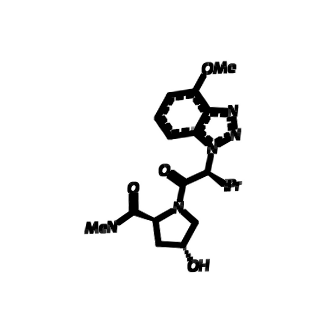 CNC(=O)[C@@H]1C[C@@H](O)CN1C(=O)[C@H](C(C)C)n1nnc2c(OC)cccc21